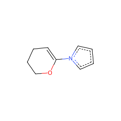 C1=C(n2cccc2)OCCC1